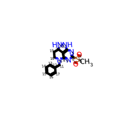 CS(=O)(=O)c1nc2c3c(n1)N(Cc1ccccc1)CCC3NN2